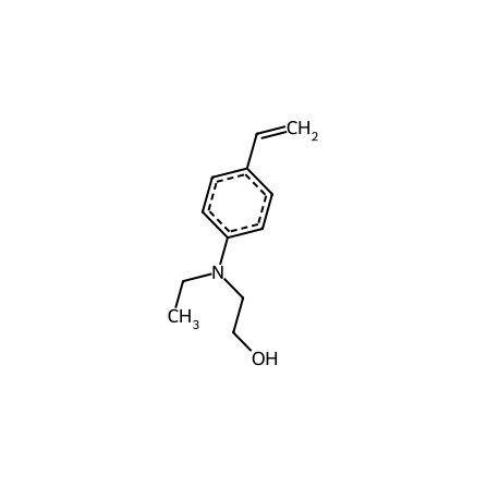 C=Cc1ccc(N(CC)CCO)cc1